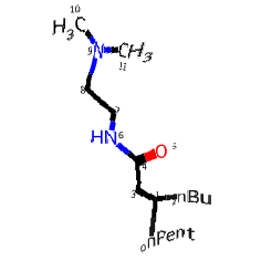 CCCCCC(CCCC)CC(=O)NCCN(C)C